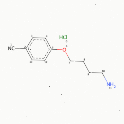 Cl.N#Cc1ccc(OCCCCN)cc1